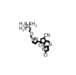 CC1(c2ccn(COCC[Si](C)(C)C)n2)CC(C#N)c2cnc3cc(Cl)nn3c21